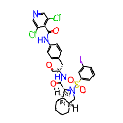 O=C[C@H](Cc1ccc(NC(=O)c2c(Cl)cncc2Cl)cc1)NC(=O)[C@@H]1[C@@H]2CCCC[C@@H]2CN1S(=O)(=O)c1cccc(I)c1